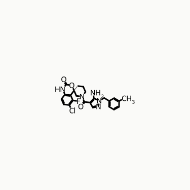 Cc1cccc(Cn2ncc(C(=O)N3CCC[C@@]4(C3)OC(=O)Nc3ccc(Cl)c(F)c34)c2N)c1